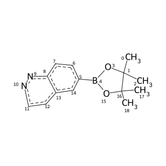 CC1(C)OB(c2ccc3nnccc3c2)OC1(C)C